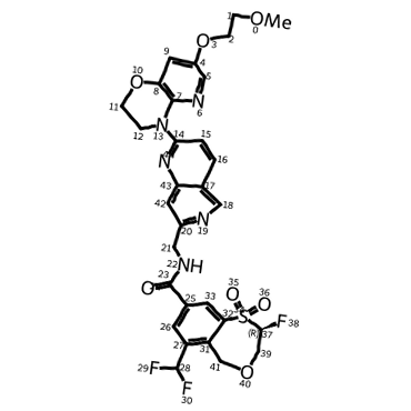 COCCOc1cnc2c(c1)OCCN2c1ccc2cnc(CNC(=O)c3cc(C(F)F)c4c(c3)S(=O)(=O)[C@@H](F)COC4)cc2n1